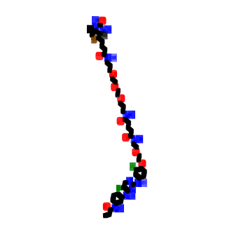 C=CC(=O)Nc1cccc(Nc2nc(Nc3ccc(OCCOCCNC(=O)CCCC(=O)NCCCOCCOCCOCCCNC(=O)CCCC4SC[C@@H]5NC(=O)N[C@H]45)c(F)c3)ncc2F)c1